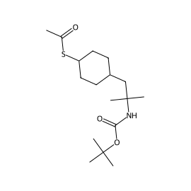 CC(=O)SC1CCC(CC(C)(C)NC(=O)OC(C)(C)C)CC1